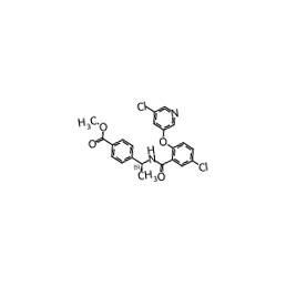 COC(=O)c1ccc([C@H](C)NC(=O)c2cc(Cl)ccc2Oc2cncc(Cl)c2)cc1